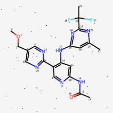 COCc1cnc(-c2cnc(NC(C)=O)cc2Nc2cc(C)nc(C(C)(F)F)n2)nc1